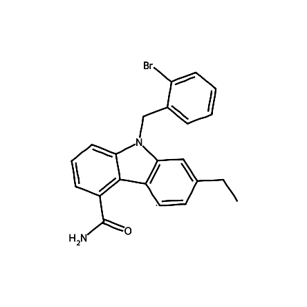 CCc1c[c]c2c3c(C(N)=O)cccc3n(Cc3ccccc3Br)c2c1